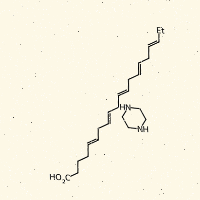 C1CNCCN1.CCC=CCC=CCC=CCC=CCC=CCCCC(=O)O